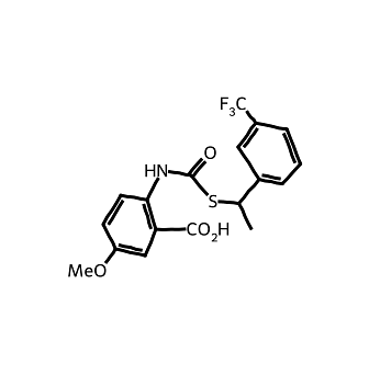 COc1ccc(NC(=O)SC(C)c2cccc(C(F)(F)F)c2)c(C(=O)O)c1